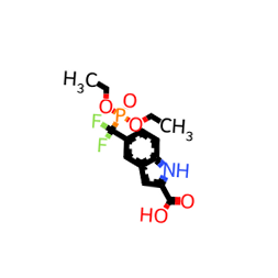 CCOP(=O)(OCC)C(F)(F)c1ccc2[nH]c(C(=O)O)cc2c1